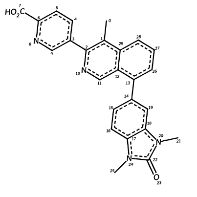 Cc1c(-c2ccc(C(=O)O)nc2)ncc2c(-c3ccc4c(c3)n(C)c(=O)n4C)cccc12